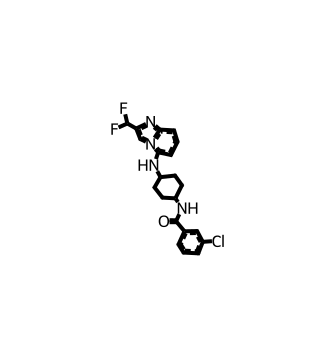 O=C(NC1CCC(Nc2cccc3nc(C(F)F)cn23)CC1)c1cccc(Cl)c1